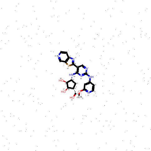 COc1cc(Nc2ncc(-c3nc4ccncc4s3)c(N[C@@H]3C[C@H](CO)[C@@H](O)[C@H]3O)n2)ccn1